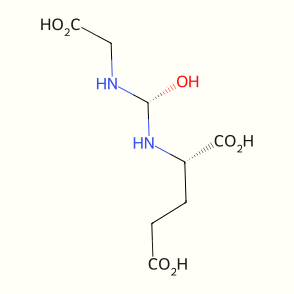 O=C(O)CC[C@H](N[C@@H](O)NCC(=O)O)C(=O)O